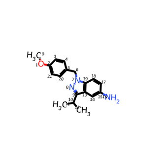 COc1ccc(Cn2nc(C(C)C)c3cc(N)ccc32)cc1